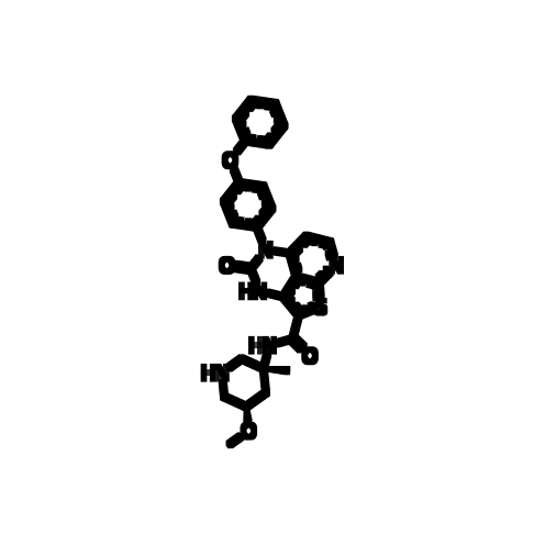 CO[C@H]1CNC[C@](C)(NC(=O)c2sc3nccc4c3c2NC(=O)N4c2ccc(Oc3ccccc3)cc2)C1